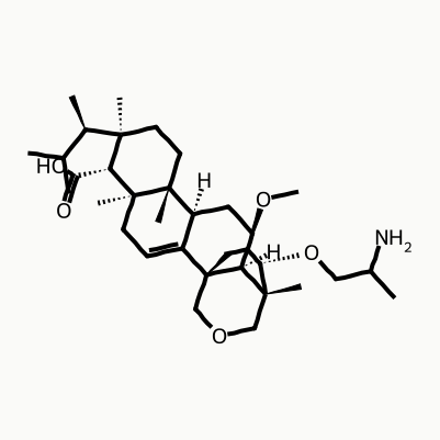 CO[C@@H]1C[C@]23COC[C@](C)([C@@H]2CC[C@H]2C3=CC[C@@]3(C)[C@H](C(=O)O)[C@@](C)([C@H](C)C(C)C)CC[C@]23C)[C@H]1OCC(C)N